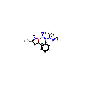 C=NN(C)/C(=N\N)c1ccccc1[C@H]1CC(C)=NO1